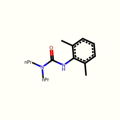 CCCN(CCC)C(=O)Nc1c(C)cccc1C